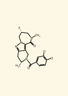 C[C@@H]1Cc2nn3c(c2CN1C(=O)c1ccc(Cl)c(Cl)c1)C(=O)N(C)C[C@@H](F)C3